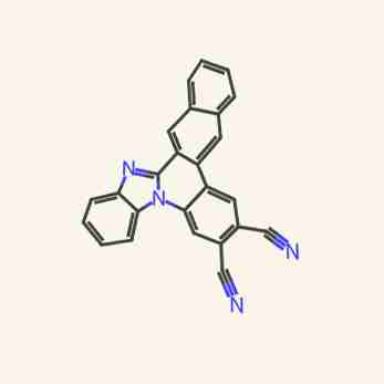 N#Cc1cc2c3cc4ccccc4cc3c3nc4ccccc4n3c2cc1C#N